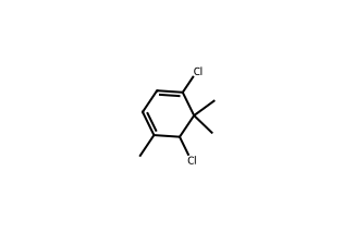 CC1=CC=C(Cl)C(C)(C)C1Cl